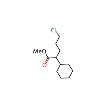 COC(=O)C(CCCCl)C1CCCCC1